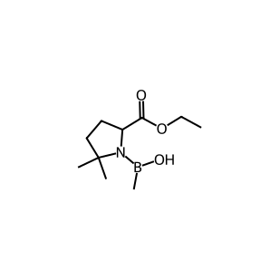 CCOC(=O)C1CCC(C)(C)N1B(C)O